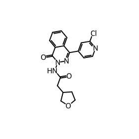 O=C(CC1CCOC1)Nn1nc(-c2ccnc(Cl)c2)c2ccccc2c1=O